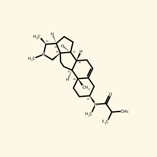 CC(=O)OC(C(=O)N(C)[C@H]1CC[C@@]2(C)C(=CC[C@H]3[C@@H]4CC[C@@H]5[C@H](C)N(C)C[C@@]54CC[C@@H]32)C1)C(F)(F)F